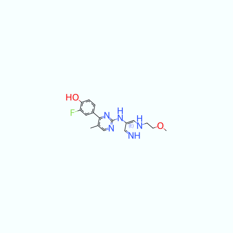 COCCN/C=C(\C=N)Nc1ncc(C)c(-c2ccc(O)c(F)c2)n1